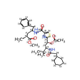 COC(=O)[C@@H](C)CC(Cc1ccccc1)NC(=O)c1csc(C(CC(NC(=O)CC2CCCCC2)C(C)C)OC(C)=O)n1